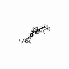 CC(C)CCCSc1ccc(C(=O)NNC(=O)C(O)[C@H](N)CCSC(C)C)cc1